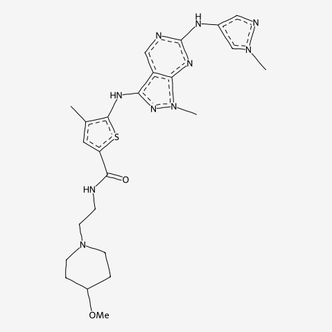 COC1CCN(CCNC(=O)c2cc(C)c(Nc3nn(C)c4nc(Nc5cnn(C)c5)ncc34)s2)CC1